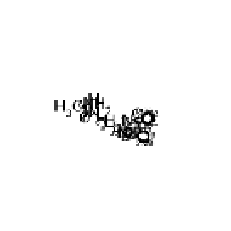 CC(N)C(=O)NCCCCCN1CC[C@@H](C(C(N)=O)(c2ccccc2)c2ccccc2)C1